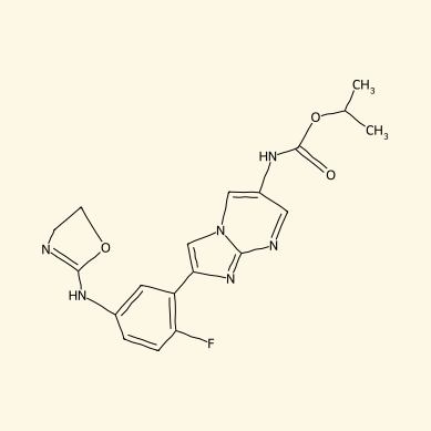 CC(C)OC(=O)Nc1cnc2nc(-c3cc(NC4=NCCO4)ccc3F)cn2c1